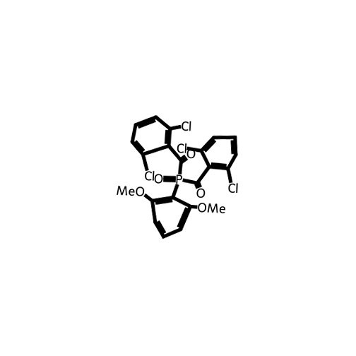 COc1cccc(OC)c1P(=O)(C(=O)c1c(Cl)cccc1Cl)C(=O)c1c(Cl)cccc1Cl